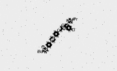 CCC(C)n1ncn(-c2ccc(N3CCN(c4ccc(OCC5COC(CSc6ncn(C(C)C)n6)(c6ccc(Cl)cc6)O5)cc4)CC3)cc2)c1=O